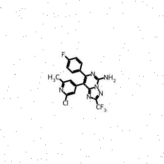 Cc1cc(-c2c(-c3ccc(F)cc3)nc(N)n3nc(C(F)(F)F)nc23)cc(Cl)n1